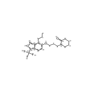 CCCc1c(OCCCN2CCCCC2=O)ccc2c(C(F)(F)F)onc12